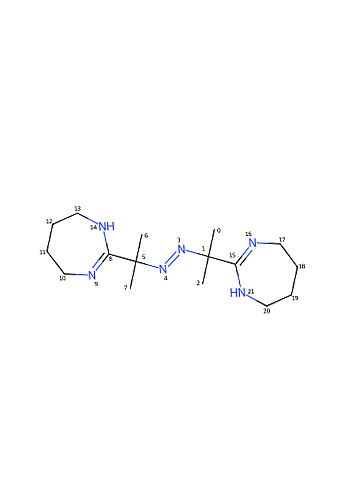 CC(C)(/N=N/C(C)(C)C1=NCCCCN1)C1=NCCCCN1